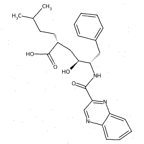 CC(C)CC[C@H](C[C@H](O)[C@H](Cc1ccccc1)NC(=O)c1cnc2ccccc2n1)C(=O)O